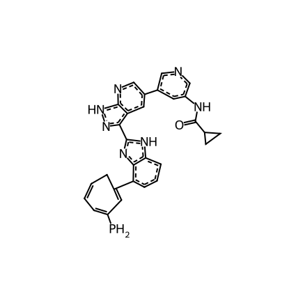 O=C(Nc1cncc(-c2cnc3[nH]nc(-c4nc5c(C6=CC(P)=CC=CC6)cccc5[nH]4)c3c2)c1)C1CC1